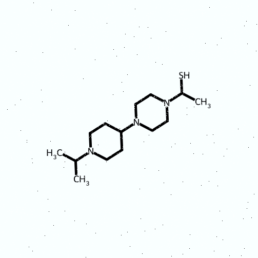 CC(C)N1CCC(N2CCN(C(C)S)CC2)CC1